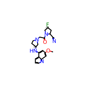 COc1cc(N[C@H]2CCN(CC(=O)N3C[C@@H](F)CC3C#N)C2)c2cccnc2c1